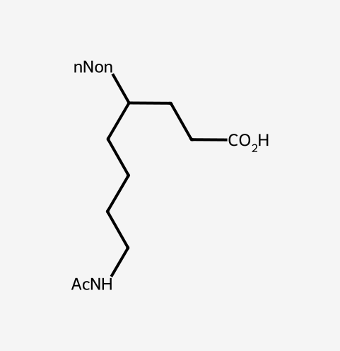 CCCCCCCCCC(CCCCNC(C)=O)CCC(=O)O